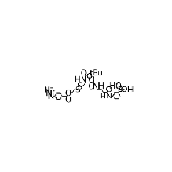 CC(C)(C)OC(=O)NC(CSSCCOC(=O)c1ccc(N=[N+]=[N-])cc1)C(=O)ONCCCC(=O)Nc1cccc(B(O)O)c1